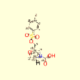 Cc1ccc(S(=O)(=O)OC[C@@]23C[C@@H](CO2)N(C(=O)O)C3)cc1